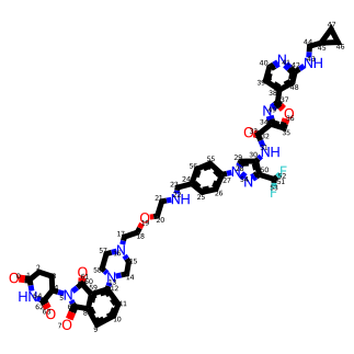 O=C1CCC(N2C(=O)c3cccc(N4CCN(CCOCCNCc5ccc(-n6cc(NC(=O)c7coc(-c8ccnc(NCC9CC9)c8)n7)c(C(F)F)n6)cc5)CC4)c3C2=O)C(=O)N1